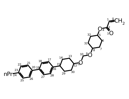 C=CC(=O)OC1CCC(OCOC2CCC(c3ccc(-c4ccc(CCC)cc4)cc3)CC2)CC1